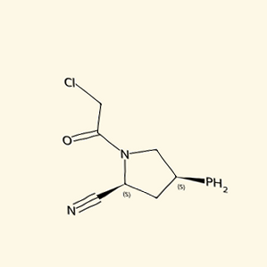 N#C[C@@H]1C[C@H](P)CN1C(=O)CCl